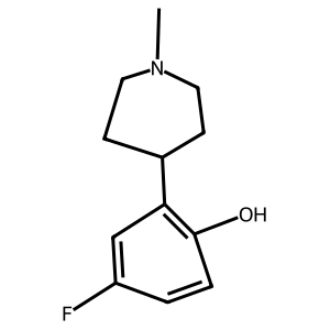 CN1CCC(c2cc(F)ccc2O)CC1